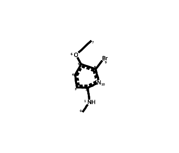 CNc1ccc(OC)c(Br)n1